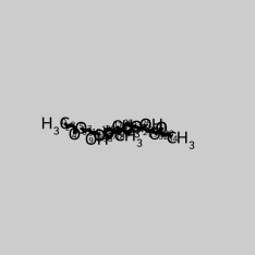 CC=CC(=O)OCCC(O)COc1ccc(C(C)(C)c2ccc(OCC(O)CCOC(=O)C=CC)cc2)cc1